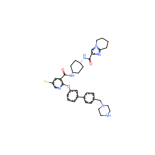 O=C(N[C@H]1CC[C@@H](NC(=O)c2cc(F)cnc2Oc2cccc(-c3ccc(CN4CCNCC4)cc3)c2)CC1)c1cn2c(n1)CCCC2